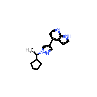 CC(C1CCCC1)n1cc(-c2ccnc3[nH]ccc23)cn1